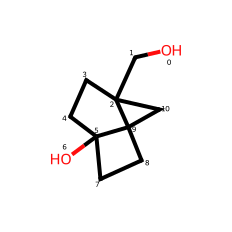 OCC12CCC3(O)CCC31C2